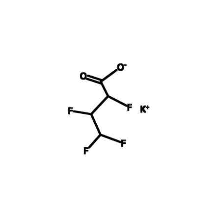 O=C([O-])C(F)C(F)C(F)F.[K+]